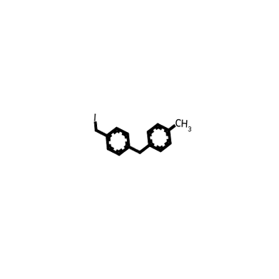 Cc1ccc(Cc2ccc(CI)cc2)cc1